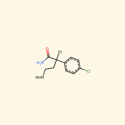 CCC(CCNC)(C(N)=O)c1ccc(Cl)cc1